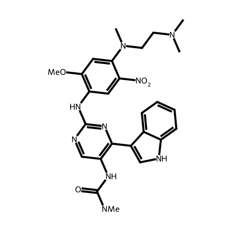 CNC(=O)Nc1cnc(Nc2cc([N+](=O)[O-])c(N(C)CCN(C)C)cc2OC)nc1-c1c[nH]c2ccccc12